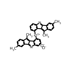 CC1=C2C(=Nc3ccc[c]([Zr+2][c]4cccc5c4C4=C(C)c6ccc(C)cc6C4=N5)c32)c2cc(C)ccc21.[Cl-].[Cl-]